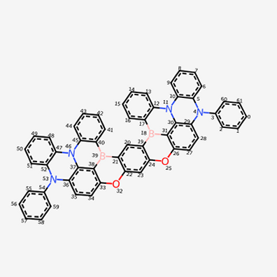 c1ccc(N2c3ccccc3N3c4ccccc4B4c5cc6c(cc5Oc5ccc2c3c54)Oc2ccc3c4c2B6c2ccccc2N4c2ccccc2N3c2ccccc2)cc1